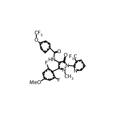 COc1cc(F)c(-c2c(NC(=O)c3ccc(OC(F)(F)F)cc3)c(=O)n(-c3ncccc3C(F)(F)F)n2C)c(F)c1